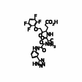 CC(NC(=O)C(=O)Nc1cccc(-c2nnn[nH]2)c1)C(=O)NC(CCC(=O)O)C(=O)COc1c(F)c(F)cc(F)c1F